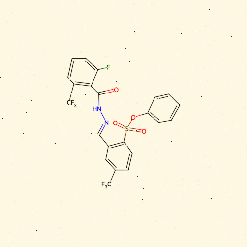 O=C(N/N=C/c1cc(C(F)(F)F)ccc1S(=O)(=O)Oc1ccccc1)c1c(F)cccc1C(F)(F)F